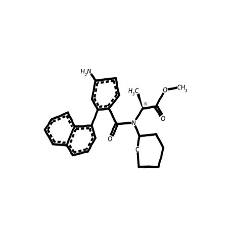 COC(=O)[C@H](C)N(C(=O)c1ccc(N)cc1-c1cccc2ccccc12)C1CCCCC1